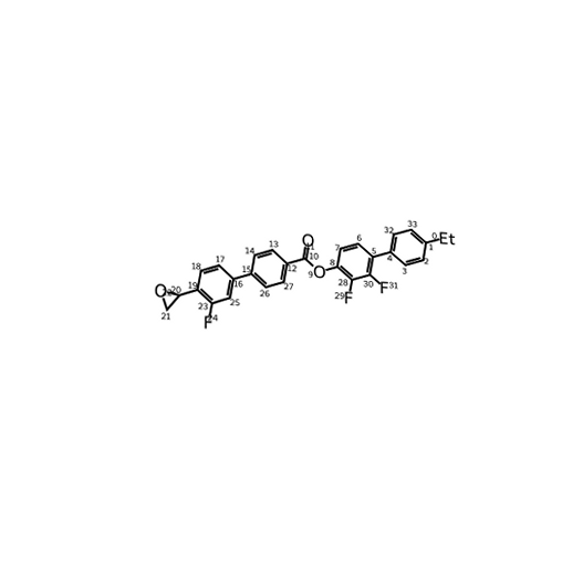 CCc1ccc(-c2ccc(OC(=O)c3ccc(-c4ccc(C5CO5)c(F)c4)cc3)c(F)c2F)cc1